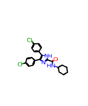 O=C(NC1CCCCC1)c1nc(-c2ccc(Cl)cc2)c(-c2ccc(Cl)cc2)[nH]1